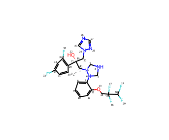 C[C@@H](N1CNCN1c1ccccc1OCC(F)(F)C(F)F)[C@](O)(Cn1cncn1)c1ccc(F)cc1F